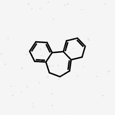 C1=CCC2=CCCc3ccccc3C2=C1